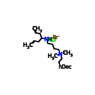 C=CCC(CC=C)NCCCC[N+](C)(C)CCCCCCCCCCCC.Cl.[Br-]